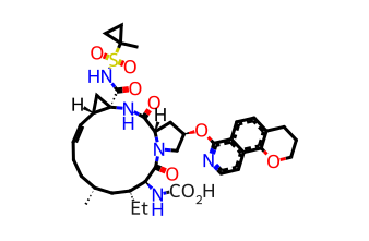 CC[C@@H]1C[C@H](C)CCC=C[C@@H]2C[C@@]2(C(=O)NS(=O)(=O)C2(C)CC2)NC(=O)[C@@H]2C[C@@H](Oc3nccc4c5c(ccc34)CCCO5)CN2C(=O)[C@H]1NC(=O)O